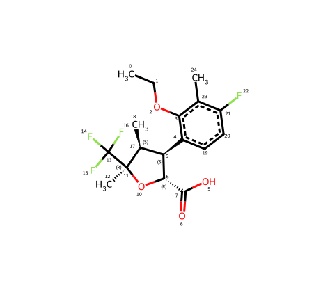 CCOc1c([C@H]2[C@H](C(=O)O)O[C@@](C)(C(F)(F)F)[C@H]2C)ccc(F)c1C